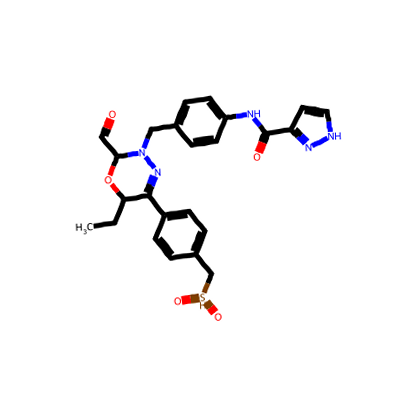 CCC1OC(C=O)N(Cc2ccc(NC(=O)c3cc[nH]n3)cc2)N=C1c1ccc(C[SH](=O)=O)cc1